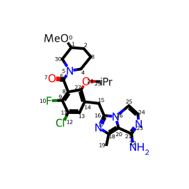 COC1CCCN(C(=O)c2c(F)c(Cl)cc(Cc3nc(C)c4c(N)nccn34)c2OC(C)C)C1